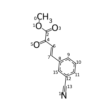 COC(=O)C(=O)C=Cc1cccc(C#N)c1